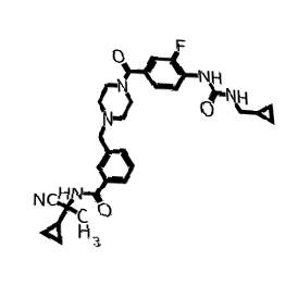 CC(C#N)(NC(=O)c1cccc(CN2CCN(C(=O)c3ccc(NC(=O)NCC4CC4)c(F)c3)CC2)c1)C1CC1